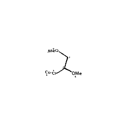 COCC(Cl)OC.[Co]